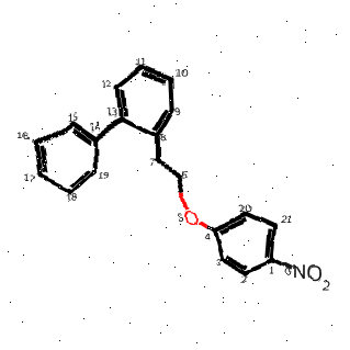 O=[N+]([O-])c1ccc(OCCc2ccccc2-c2ccccc2)cc1